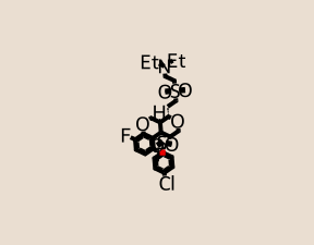 CCN(CC)CCS(=O)(=O)CC[C@@H]1OCC[C@@]2(S(=O)(=O)c3ccc(Cl)cc3)c3c(F)ccc(F)c3OC[C@@H]12